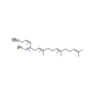 CC(C)=CCC/C(C)=C/CC/C(C)=C/CC(/C=C\CC(C)(C)C)=C/C(C)C